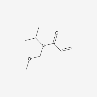 C=CC(=O)N(COC)C(C)C